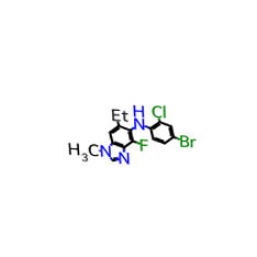 CCc1cc2c(ncn2C)c(F)c1Nc1ccc(Br)cc1Cl